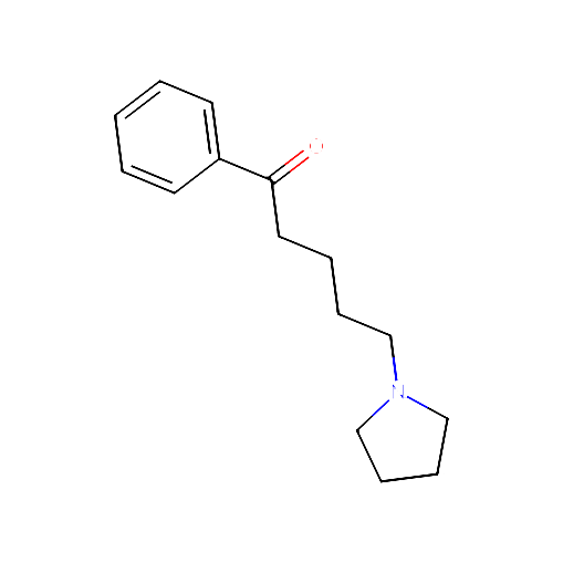 O=C(CCCCN1C[CH]CC1)c1ccccc1